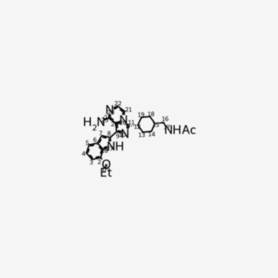 CCOc1cccc2cc(-c3nc([C@H]4CC[C@H](CNC(C)=O)CC4)n4ccnc(N)c34)[nH]c12